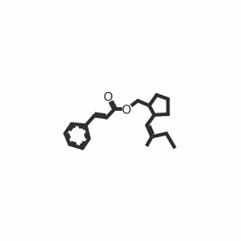 CC/C(C)=C\C1CCCC1COC(=O)/C=C/c1ccccc1